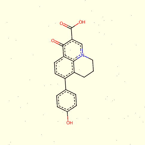 O=C(O)c1cn2c3c(c(-c4ccc(O)cc4)ccc3c1=O)CCC2